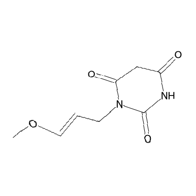 COC=CCN1C(=O)CC(=O)NC1=O